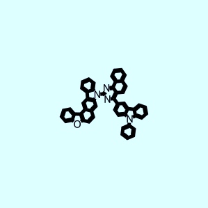 c1ccc(-n2c3ccccc3c3cc(-c4nc(-n5c6ccccc6c6cc7c(ccc8oc9ccccc9c87)cc65)nc5c4ccc4ccccc45)ccc32)cc1